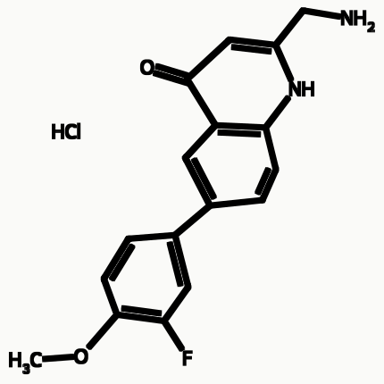 COc1ccc(-c2ccc3[nH]c(CN)cc(=O)c3c2)cc1F.Cl